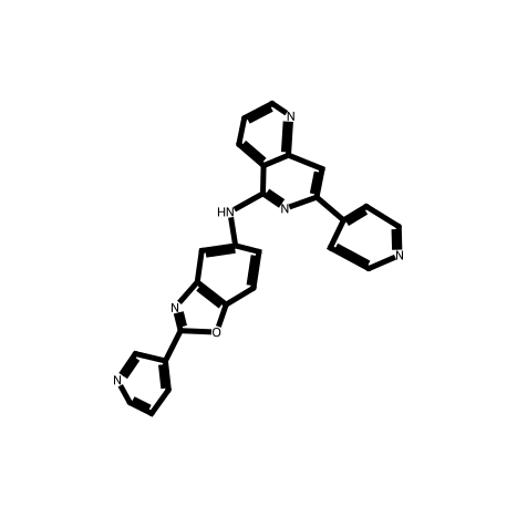 c1cncc(-c2nc3cc(Nc4nc(-c5ccncc5)cc5ncccc45)ccc3o2)c1